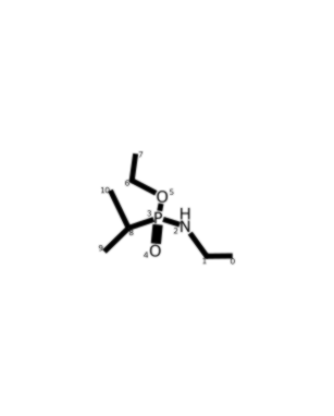 CCNP(=O)(OCC)C(C)C